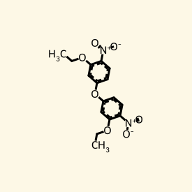 CCOc1cc(Oc2ccc([N+](=O)[O-])c(OCC)c2)ccc1[N+](=O)[O-]